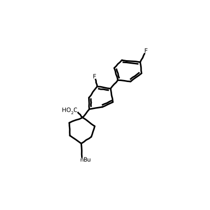 CCCCC1CCC(C(=O)O)(c2ccc(-c3ccc(F)cc3)c(F)c2)CC1